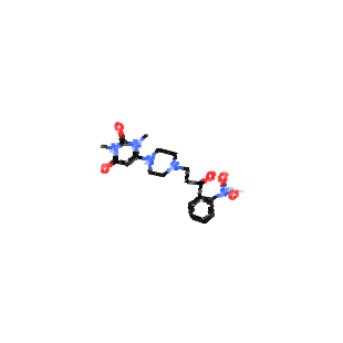 Cn1c(N2CCN(CCC(=O)c3ccccc3[N+](=O)[O-])CC2)cc(=O)n(C)c1=O